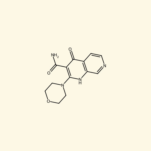 NC(=O)c1c(N2CCOCC2)[nH]c2cnccc2c1=O